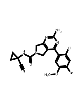 COc1cc(-c2nc(N)nc3c2CN(C(=O)NC2(C#N)CC2)C3)c(Cl)cc1Br